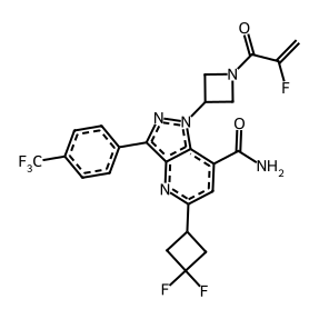 C=C(F)C(=O)N1CC(n2nc(-c3ccc(C(F)(F)F)cc3)c3nc(C4CC(F)(F)C4)cc(C(N)=O)c32)C1